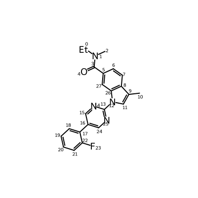 CCN(C)C(=O)c1ccc2c(C)cn(-c3ncc(-c4ccccc4F)cn3)c2c1